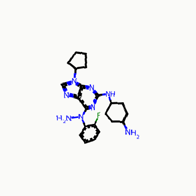 NC1CCC(Nc2nc(N(N)c3ccccc3F)c3ncn(C4CCCC4)c3n2)CC1